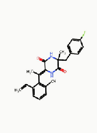 C=Cc1cccc(C#N)c1C(C)=C1NC(=O)C(C)(Cc2ccc(F)cc2)NC1=O